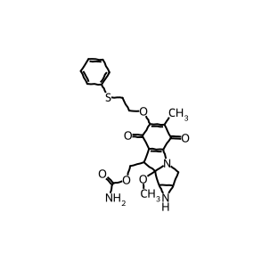 COC12C(COC(N)=O)C3=C(C(=O)C(C)=C(OCCSc4ccccc4)C3=O)N1CC1NC12